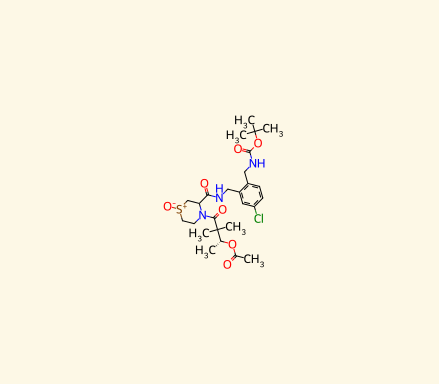 CC(=O)O[C@H](C)C(C)(C)C(=O)N1CC[S+]([O-])CC1C(=O)NCc1cc(Cl)ccc1CNC(=O)OC(C)(C)C